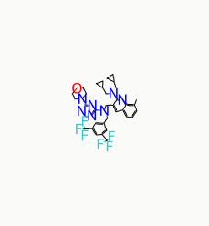 Cc1cccc2cc(CN(Cc3cc(C(F)(F)F)cc(C(F)(F)F)c3)c3ncnc(N4CCOCC4)n3)c(N(CC3CC3)CC3CC3)nc12